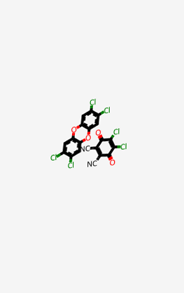 Clc1cc2c(cc1Cl)Oc1cc(Cl)c(Cl)cc1O2.N#CC1=C(C#N)C(=O)C(Cl)=C(Cl)C1=O